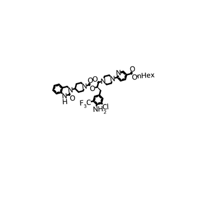 CCCCCCOC(=O)c1ccc(N2CCN(C(=O)[C@@H](Cc3cc(Cl)c(N)c(C(F)(F)F)c3)OC(=O)N3CCC(N4Cc5ccccc5NC4=O)CC3)CC2)nc1